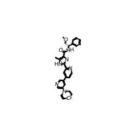 COC[C@@H](NC(=O)c1nc(-c2cc(-c3cncc(N4CCOCC4)c3)ccn2)[nH]c1C)c1ccccc1